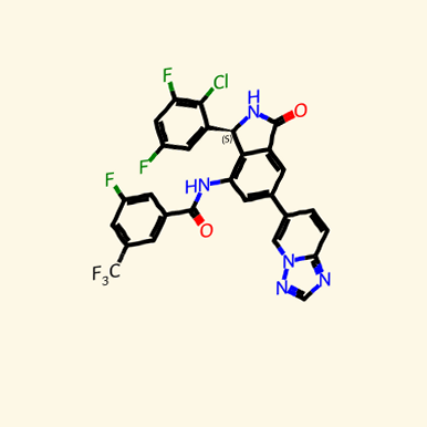 O=C(Nc1cc(-c2ccc3ncnn3c2)cc2c1[C@@H](c1cc(F)cc(F)c1Cl)NC2=O)c1cc(F)cc(C(F)(F)F)c1